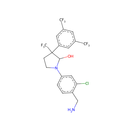 NCc1ccc(N2CCC(c3cc(C(F)(F)F)cc(C(F)(F)F)c3)(C(F)(F)F)C2O)cc1Cl